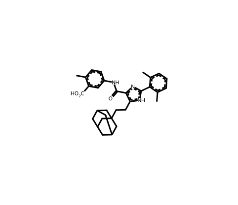 Cc1ccc(NC(=O)c2nc(-c3c(C)cccc3C)[nH]c2CCC23CC4CC(CC(C4)C2)C3)cc1C(=O)O